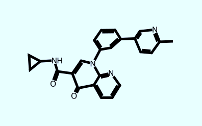 Cc1ccc(-c2cccc(-n3cc(C(=O)NC4CC4)c(=O)c4cccnc43)c2)cn1